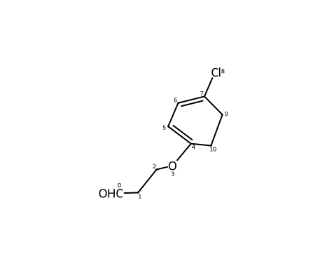 O=CCCOC1=CC=C(Cl)CC1